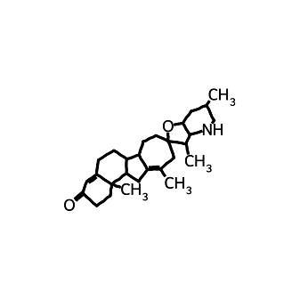 CC1=C2CC3C(CCC4=CC(=O)CCC43C)C2CCC2(C1)OC1CC(C)CNC1C2C